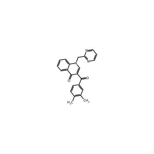 Cc1ccc(C(=O)c2cn(Cc3ncccn3)c3ccccc3c2=O)cc1C